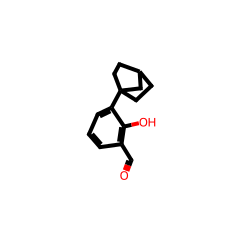 O=Cc1cccc(C23CCC(CC2)C3)c1O